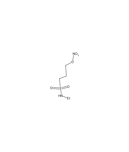 CCNS(=O)(=O)CCCO[N+](=O)[O-]